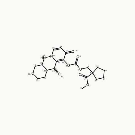 COC(=O)C1(COC(=O)Oc2c3n(ccc2=O)NC2COCCN2C3=O)CCCC1